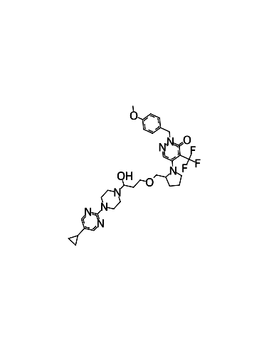 COc1ccc(Cn2ncc(N3CCCC3COCCC(O)N3CCN(c4ncc(C5CC5)cn4)CC3)c(C(F)(F)F)c2=O)cc1